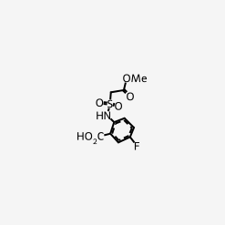 COC(=O)CS(=O)(=O)Nc1ccc(F)cc1C(=O)O